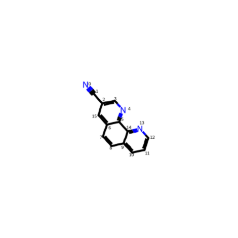 N#Cc1cnc2c(ccc3cccnc32)c1